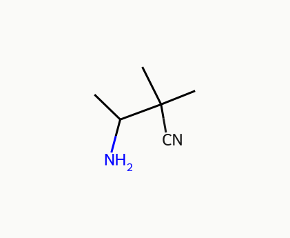 CC(N)C(C)(C)C#N